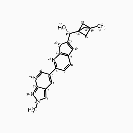 Cn1cc2cc(-c3ccc4cc([C@H](O)C56CC(C(F)(F)F)(C5)C6)sc4n3)cnc2n1